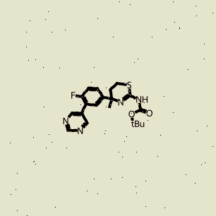 CC(C)(C)OC(=O)NC1=NC(C)(c2ccc(F)c(-c3cncnc3)c2)CCS1